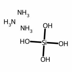 N.N.N.O[Si](O)(O)O